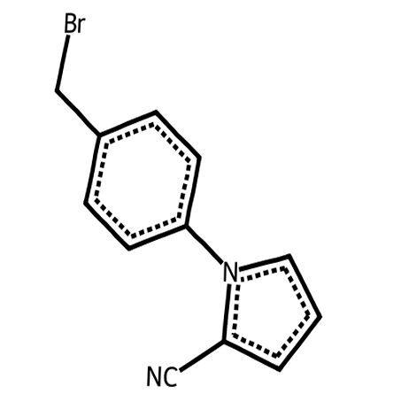 N#Cc1cccn1-c1ccc(CBr)cc1